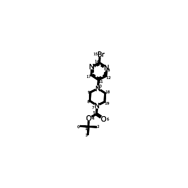 CC(C)(C)OC(=O)N1CCN(c2cnc(Br)nc2)CC1